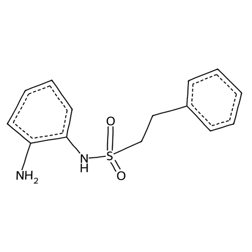 Nc1ccccc1NS(=O)(=O)CCc1ccccc1